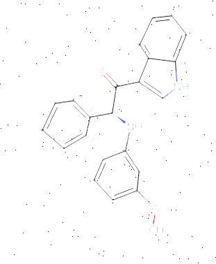 COc1cccc(N[C@H](C(=O)c2c[nH]c3ccccc23)c2ccccc2)c1